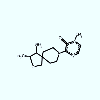 C[C@@H]1OCC2(CCN(c3nc[c]n(C)c3=O)CC2)[C@@H]1N